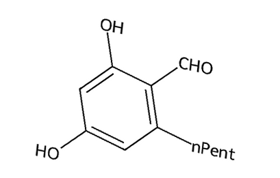 CCCCCc1cc(O)cc(O)c1C=O